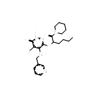 CCCCC(Oc1n[nH]c(=O)c(Cl)c1NCc1cccnc1)C(=O)N1CCCCC1